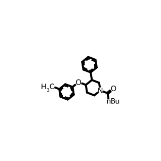 CCCCC(=O)N1CCC(Oc2cccc(C)c2)C(c2ccccc2)C1